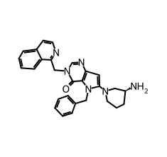 N[C@H]1CCCN(c2cc3ncn(Cc4nccc5ccccc45)c(=O)c3n2Cc2ccccc2)C1